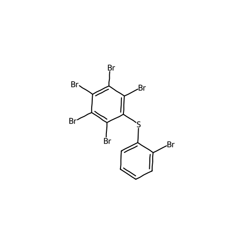 Brc1ccccc1Sc1c(Br)c(Br)c(Br)c(Br)c1Br